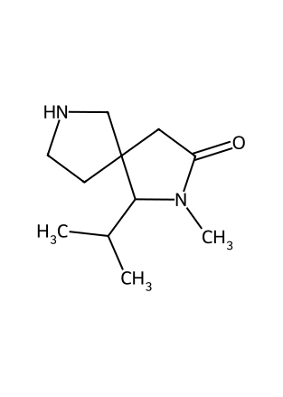 CC(C)C1N(C)C(=O)CC12CCNC2